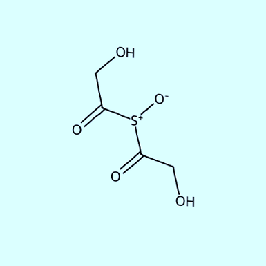 O=C(CO)[S+]([O-])C(=O)CO